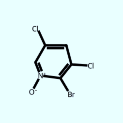 [O-][n+]1cc(Cl)cc(Cl)c1Br